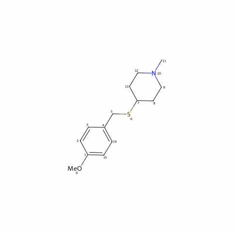 COc1ccc(CSC2CCN(C)CC2)cc1